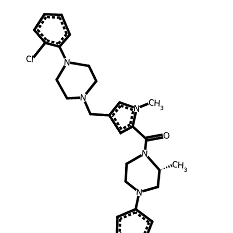 C[C@@H]1CN(c2ccccc2)CCN1C(=O)c1cc(CN2CCN(c3ccccc3Cl)CC2)cn1C